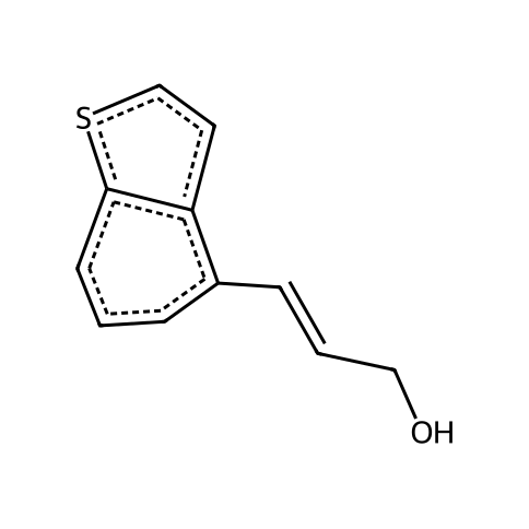 OCC=Cc1cccc2sccc12